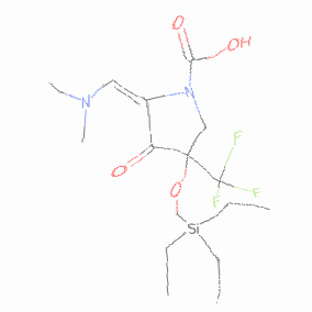 CC[Si](CC)(CC)OC1(C(F)(F)F)CN(C(=O)O)/C(=C/N(C)C)C1=O